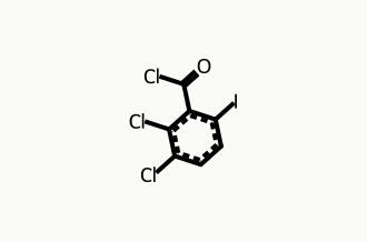 O=C(Cl)c1c(I)ccc(Cl)c1Cl